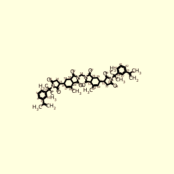 C=C(C)c1cccc(C(C)(C)N2C(=O)CC(C3C=C(C)C4C(=O)N(CN5C(=O)C6CC(C7CC(=O)N(C(C)(C)c8cccc(C(=C)C)c8)C7=O)C=C(C)C6C5=O)C(=O)C4C3)C2=O)c1